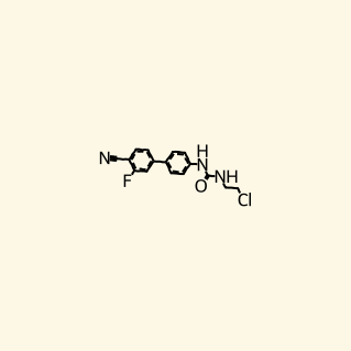 N#Cc1ccc(-c2ccc(NC(=O)NCCCl)cc2)cc1F